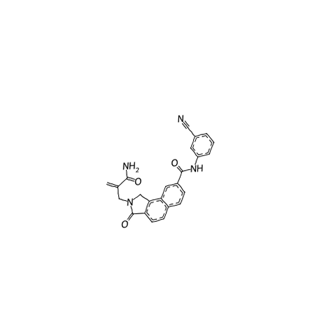 C=C(CN1Cc2c(ccc3ccc(C(=O)Nc4cccc(C#N)c4)cc23)C1=O)C(N)=O